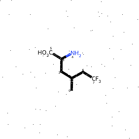 CC(CC(N)C(=O)O)CC(F)(F)F